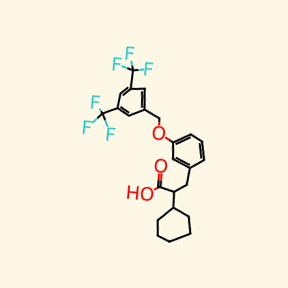 O=C(O)C(Cc1cccc(OCc2cc(C(F)(F)F)cc(C(F)(F)F)c2)c1)C1CCCCC1